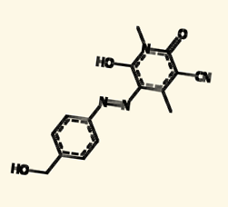 Cc1c(N=Nc2ccc(CO)cc2)c(O)n(C)c(=O)c1C#N